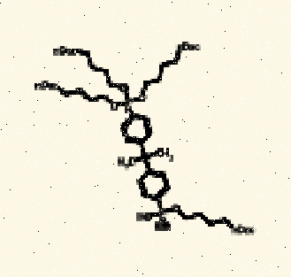 CCCCCCCCCCCCCCO[PH](O)(O)c1ccc(C(C)(C)c2ccc([PH](OCCCCCCCCCCCCCC)(OCCCCCCCCCCCCCC)OCCCCCCCCCCCCCC)cc2)cc1